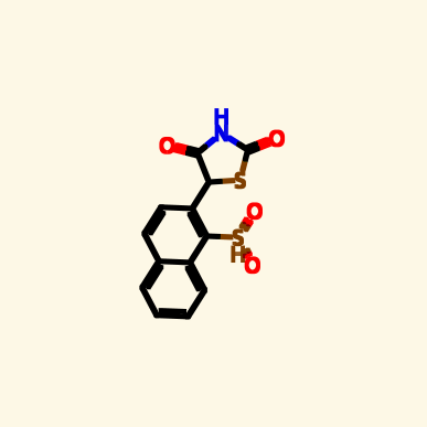 O=C1NC(=O)C(c2ccc3ccccc3c2[SH](=O)=O)S1